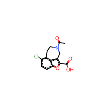 CC(=O)N1CCc2c(Cl)ccc3oc(C(=O)O)c(c23)C1